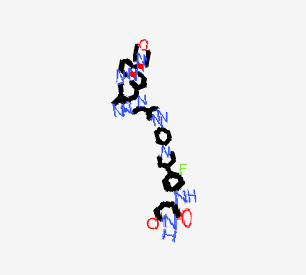 N#Cc1cnn2cc(-c3cnn(C4CCC(N5CCC(c6ccc(NC7CCC(=O)NC7=O)cc6F)CC5)CC4)c3)nc(-c3ccc(N4CC5COCC(C4)N5Cc4ccccn4)nc3)c12